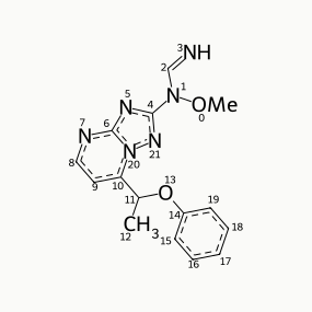 CON(C=N)c1nc2nccc(C(C)Oc3ccccc3)n2n1